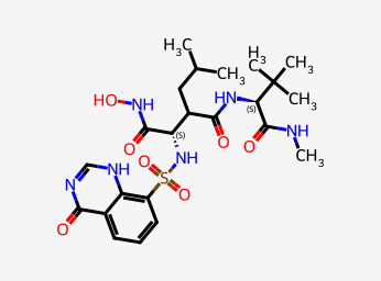 CNC(=O)[C@@H](NC(=O)C(CC(C)C)[C@H](NS(=O)(=O)c1cccc2c(=O)nc[nH]c12)C(=O)NO)C(C)(C)C